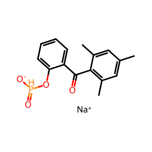 Cc1cc(C)c(C(=O)c2ccccc2O[PH](=O)[O-])c(C)c1.[Na+]